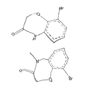 CN1C(=O)COc2c(Br)cccc21.O=C1COc2c(Br)cccc2N1